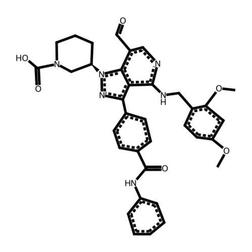 COc1ccc(CNc2ncc(C=O)c3c2c(-c2ccc(C(=O)Nc4ccccc4)cc2)nn3[C@@H]2CCCN(C(=O)O)C2)c(OC)c1